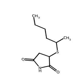 CCCCC(C)SC1CC(=O)NC1=O